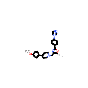 Cc1oc(-c2ccc(-n3ccnc3)cc2)nc1CN1CC=C(c2ccc(OC(F)(F)F)cc2)CC1